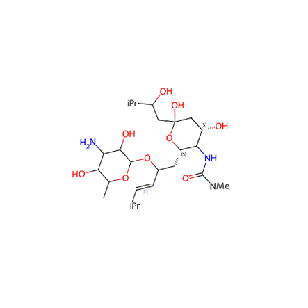 CNC(=O)NC1[C@H](CC(/C=C/C(C)C)OC2OC(C)C(O)C(N)C2O)OC(O)(CC(O)C(C)C)C[C@@H]1O